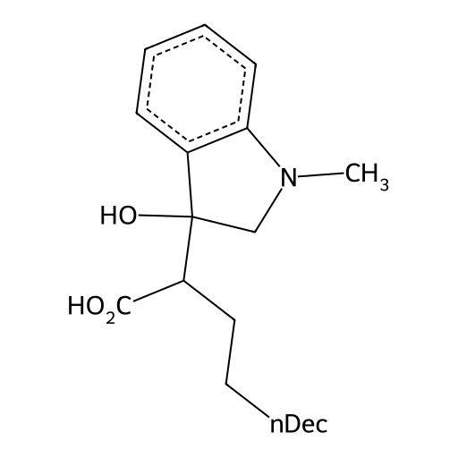 CCCCCCCCCCCCC(C(=O)O)C1(O)CN(C)c2ccccc21